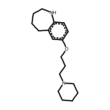 c1cc2c(cc1OCCCN1CCCCC1)CCCCN2